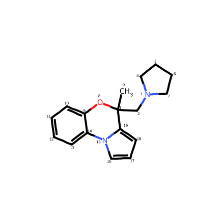 CC1(CN2CCCC2)Oc2ccccc2-n2cccc21